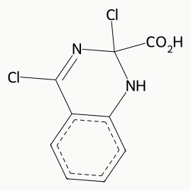 O=C(O)C1(Cl)N=C(Cl)c2ccccc2N1